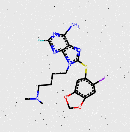 CN(C)CCCCn1c(Sc2cc3c(cc2I)OCO3)nc2c(N)nc(F)nc21